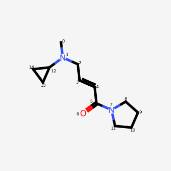 CN(C/C=C/C(=O)N1C[CH]CC1)C1CC1